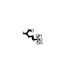 CC(C=O)CC=CP(=O)(O)O